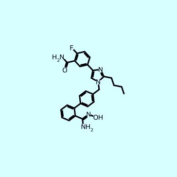 CCCCc1nc(-c2ccc(F)c(C(N)=O)c2)cn1Cc1ccc(-c2ccccc2C(N)=NO)cc1